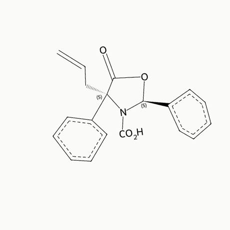 C=CC[C@]1(c2ccccc2)C(=O)O[C@@H](c2ccccc2)N1C(=O)O